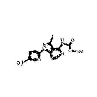 CC(C)(C)OC(=O)Nc1ncnc2c1c(I)nn2-c1ccc([N+](=O)[O-])cn1